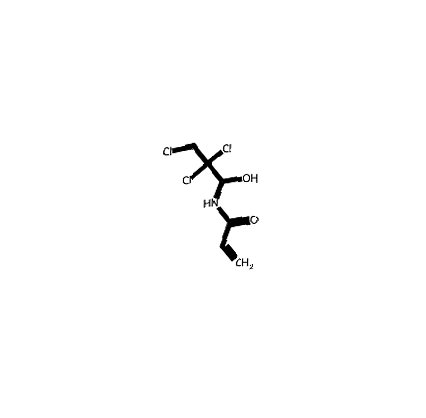 C=CC(=O)NC(O)C(Cl)(Cl)CCl